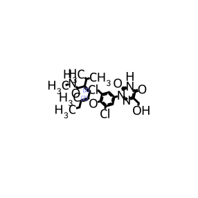 CC/C(C)=C(/C=C(\C(=O)NC)C(C)C)Oc1c(Cl)cc(-n2nc(CO)c(=O)[nH]c2=O)cc1Cl